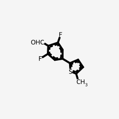 Cc1ccc(-c2cc(F)c(C=O)c(F)c2)s1